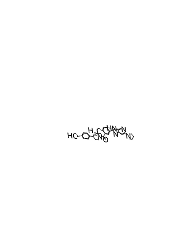 C#Cc1ccc(C2CCN(C(=O)c3cc(-c4nc5cc(N6CCCC6)ncc5[nH]4)ccc3C)CC2)cc1